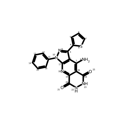 Nc1c2c(-c3cccs3)nn(-c3ccccc3)c2nc2c(=O)[nH][nH]c(=O)c12